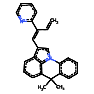 C=C/C(=C\c1cn2c3c(cccc13)C(C)(C)c1ccccc1-2)c1ccccn1